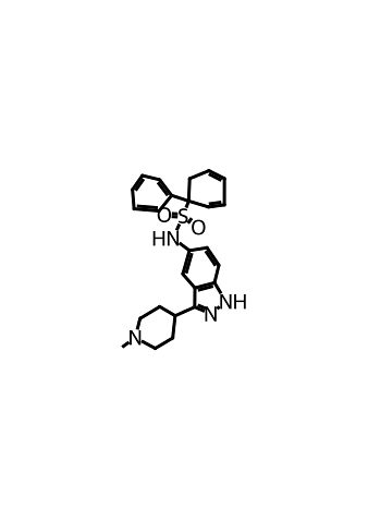 CN1CCC(c2n[nH]c3ccc(NS(=O)(=O)C4(c5ccccc5)C=CC=CC4)cc23)CC1